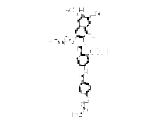 N#Cc1cc2c(O)c(/N=N/c3ccc(/N=N/c4ccc(SOOO)cc4)cc3C(=O)O)c(SOOO)cc2cc1S(=O)(=O)O